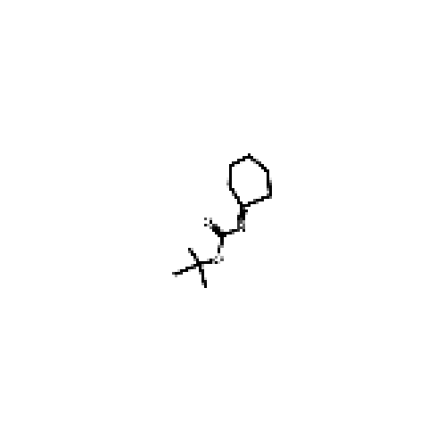 CC(C)(C)OC(=O)N=C1CCCCC1